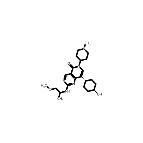 COCC(C)Nc1ncc2c(=O)n(C3CCN(C)CC3)cc([C@H]3CC[C@H](O)CC3)c2n1